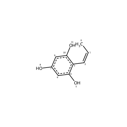 C/C=C\c1c(O)cc(O)cc1O